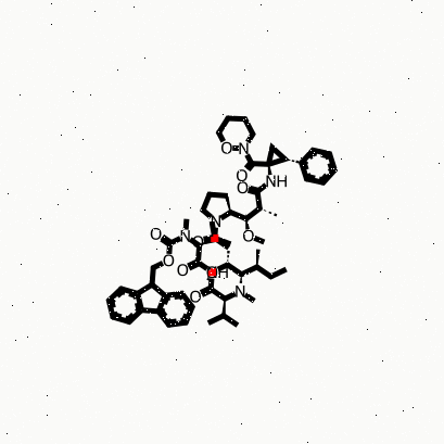 CC[C@H](C)[C@@H]([C@@H](CC(=O)N1CCC[C@H]1[C@H](OC)[C@@H](C)C(=O)N[C@@]1(C(=O)N2CCCCO2)C[C@@H]1c1ccccc1)OC)N(C)[C@H](C(=O)NC(=O)[C@H](C(C)C)N(C)C(=O)OCC1c2ccccc2-c2ccccc21)C(C)C